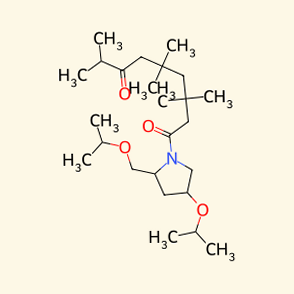 CC(C)OCC1CC(OC(C)C)CN1C(=O)CC(C)(C)CC(C)(C)CC(=O)C(C)C